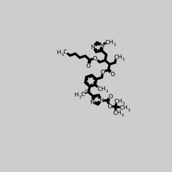 CCCCCC(=O)OCC(Cc1cncn1C)C(CC)C(=O)OCc1cccc([C@H](C)c2cn(C(=O)OC(C)(C)C)cn2)c1C